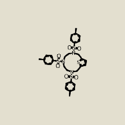 Cc1ccc(S(=O)(=O)N2CCN(S(=O)(=O)c3ccc(C)cc3)Cc3ccc(s3)CN(S(=O)(=O)c3ccc(C)cc3)CC2)cc1